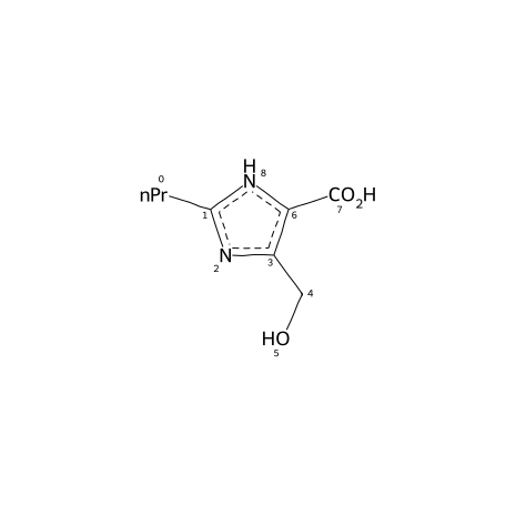 CCCc1nc(CO)c(C(=O)O)[nH]1